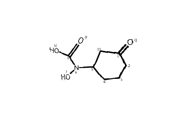 O=C1CCCC(N(O)C(=O)O)C1